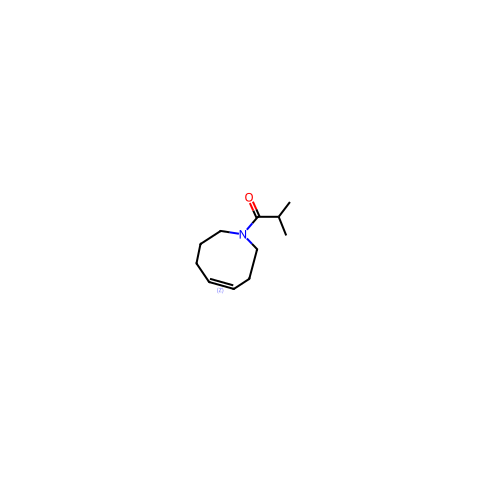 CC(C)C(=O)N1CC/C=C\CCC1